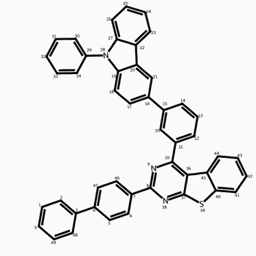 c1ccc(-c2ccc(-c3nc(-c4cccc(-c5ccc6c(c5)c5ccccc5n6-c5ccccc5)c4)c4c(n3)sc3ccccc34)cc2)cc1